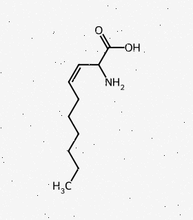 CCCCCC/C=C\C(N)C(=O)O